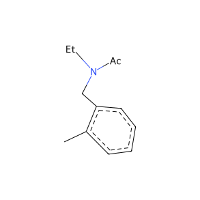 CCN(Cc1ccccc1C)C(C)=O